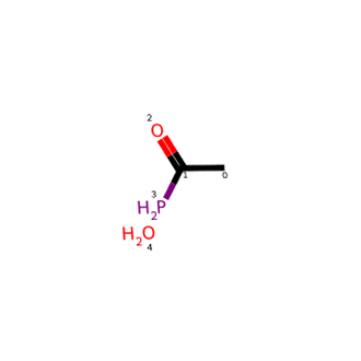 CC(=O)P.O